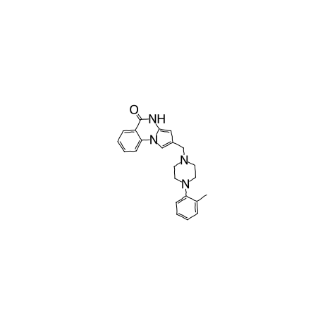 Cc1ccccc1N1CCN(Cc2cc3[nH]c(=O)c4ccccc4n3c2)CC1